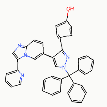 Oc1ccc(-c2nn(C(c3ccccc3)(c3ccccc3)c3ccccc3)cc2-c2ccc3ncc(-c4ccccn4)n3c2)cc1